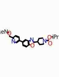 CNOCc1ccc(-c2ccc3oc(C4CCN(C(=O)OC(C)C)CC4)nc3c2)cn1